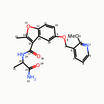 COc1ncccc1COc1ccc2oc(C)c(C(=O)NC(C)C(N)=O)c2c1